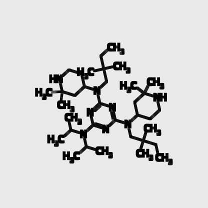 CCC(C)(C)CN(c1nc(N(CC(C)(C)CC)C2CCNC(C)(C)C2)nc(N(C(C)C)C(C)C)n1)C1CCNC(C)(C)C1